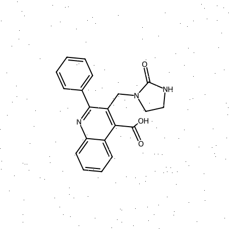 O=C(O)c1c(CN2CCNC2=O)c(-c2ccccc2)nc2ccccc12